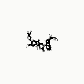 CC(C)C1=CN(C23C4C5C2C2C3C4C52C(=O)O)C(=O)N[C@@]1(C)c1ccc(CCC(C)(C)C)c(Cl)c1